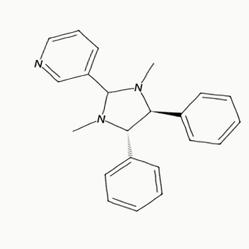 CN1C(c2cccnc2)N(C)[C@@H](c2ccccc2)[C@@H]1c1ccccc1